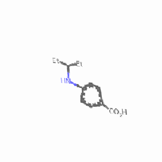 CCC(CC)Nc1ccc(C(=O)O)cc1